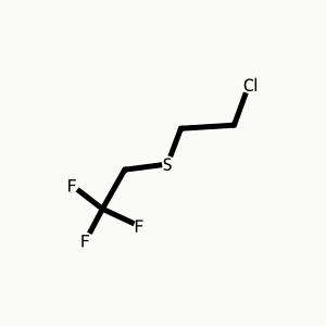 FC(F)(F)CSCCCl